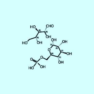 O=C[C@H](O)[C@H](O)[C@H](O)CO.O=P(O)(O)OC[C@H]1O[C@H](O)[C@H](O)[C@@H](O)[C@@H]1O